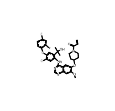 C=CC(=O)N1CCC(Oc2cc3c(Nc4cc(Cl)c(Oc5ccc(F)cc5F)cc4C(C)(C)O)ncnc3cc2OC)CC1